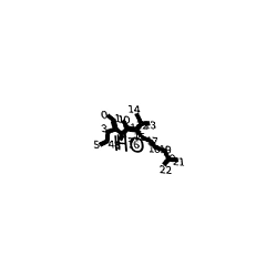 C/C=C(\CCC)[C@](C)(I)/C(C)=C(/C(C)C)C(O)CCCC(C)C